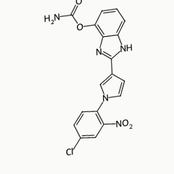 NC(=O)Oc1cccc2[nH]c(-c3ccn(-c4ccc(Cl)cc4[N+](=O)[O-])c3)nc12